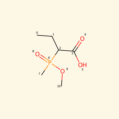 CCC(C(=O)O)P(C)(=O)OC